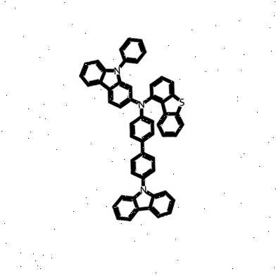 c1ccc(-n2c3ccccc3c3ccc(N(c4ccc(-c5ccc(-n6c7ccccc7c7ccccc76)cc5)cc4)c4cccc5sc6ccccc6c45)cc32)cc1